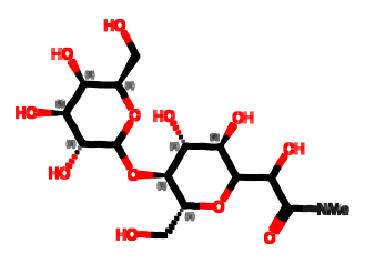 CNC(=O)C(O)C1O[C@H](CO)[C@@H](OC2O[C@H](CO)[C@H](O)[C@H](O)[C@H]2O)[C@H](O)[C@H]1O